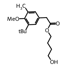 COc1c(C)cc(CC(=O)OCCCCO)cc1C(C)(C)C